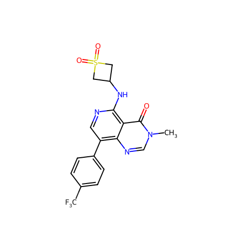 Cn1cnc2c(-c3ccc(C(F)(F)F)cc3)cnc(NC3CS(=O)(=O)C3)c2c1=O